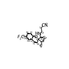 N#CCCNC(=S)C1(C(F)F)C=Cc2cc(C(F)(F)F)ccc2O1